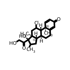 CC1C[C@H]2[C@@H]3CCC4=CC(=O)C=C[C@]4(C)[C@H]3C(Cl)C[C@]2(C)[C@@]1(O)C(=O)CO